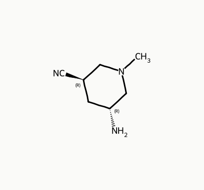 CN1C[C@H](N)C[C@@H](C#N)C1